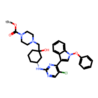 CC(C)(C)OC(=O)N1CCN(CC2(O)CCC[C@@H](Nc3ncc(Cl)c(-c4cn(Oc5ccccc5)c5ccccc45)n3)C2)CC1